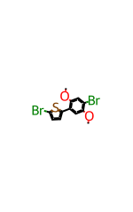 COc1cc(-c2ccc(Br)s2)c(OC)cc1Br